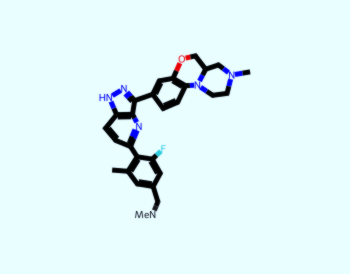 CNCc1cc(C)c(-c2ccc3[nH]nc(-c4ccc5c(c4)OCC4CN(C)CCN54)c3n2)c(F)c1